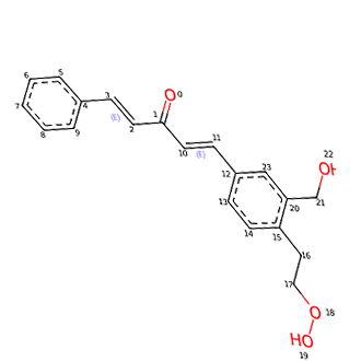 O=C(/C=C/c1ccccc1)/C=C/c1ccc(CCOO)c(CO)c1